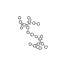 c1ccc(-c2ccc(-c3nc(-n4c5ccc(-c6cccc(-c7ccc(-c8ccc(-c9nc(-n%10c%11ccc(-c%12ccccc%12)cc%11c%11c%12c%13c(cc%11%10)-c%10cc(-c%11ccccc%11)ccc%10C(CC%13)c%10ccccc%10-%12)nc%10ccccc9%10)cc8)cc7)c6)cc5c5c6c7ccccc7n7c8ccc(-c9ccccc9)cc8c(cc54)c67)nc4c3sc3ccccc34)cc2)cc1